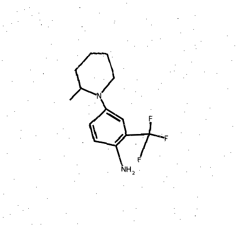 CC1CCCCN1c1ccc(N)c(C(F)(F)F)c1